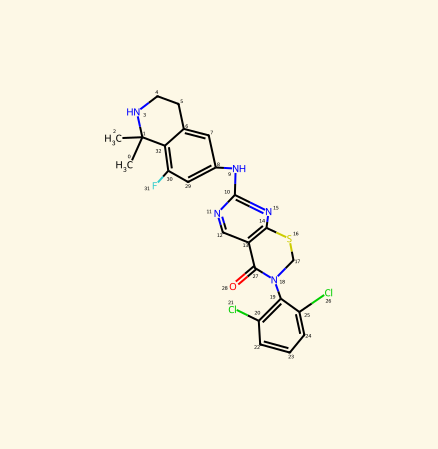 CC1(C)NCCc2cc(Nc3ncc4c(n3)SCN(c3c(Cl)cccc3Cl)C4=O)cc(F)c21